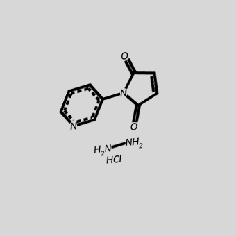 Cl.NN.O=C1C=CC(=O)N1c1cccnc1